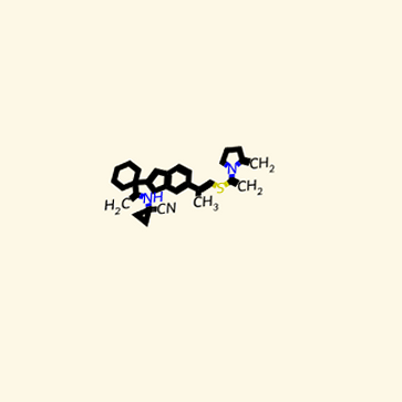 C=C1CCCN1C(=C)S/C=C(\C)c1ccc2c(c1)CC(C1(C(=C)NC3(C#N)CC3)CCCCC1)=C2